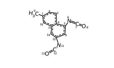 Cc1ccc2c(N=C=O)cc(N=C=O)cc2c1